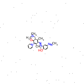 CN=Nc1ccc(O)c(N=NC2=C(C)C(CN(C)C)C(=O)C([n+]3ccccc3)=C2C)c1